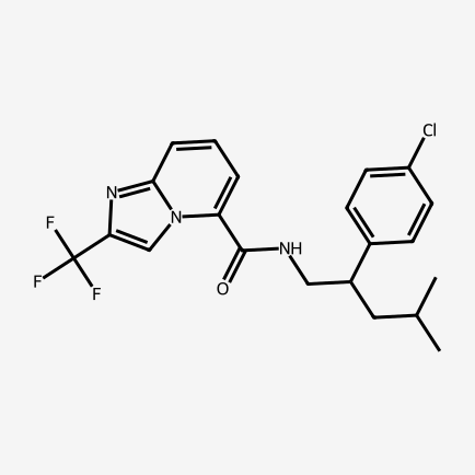 CC(C)CC(CNC(=O)c1cccc2nc(C(F)(F)F)cn12)c1ccc(Cl)cc1